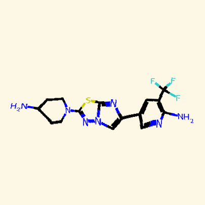 Nc1ncc(-c2cn3nc(N4CCC(N)CC4)sc3n2)cc1C(F)(F)F